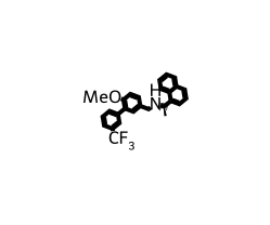 COc1ccc(CN[C@H](C)c2cccc3ccccc23)cc1-c1cccc(C(F)(F)F)c1